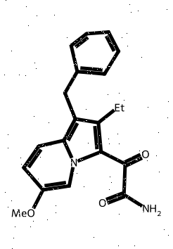 CCc1c(Cc2ccccc2)c2ccc(OC)cn2c1C(=O)C(N)=O